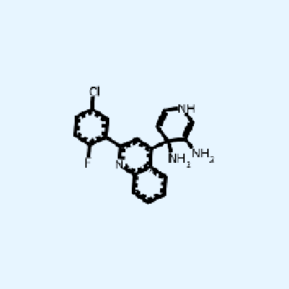 NC1=CNC=CC1(N)c1cc(-c2cc(Cl)ccc2F)nc2ccccc12